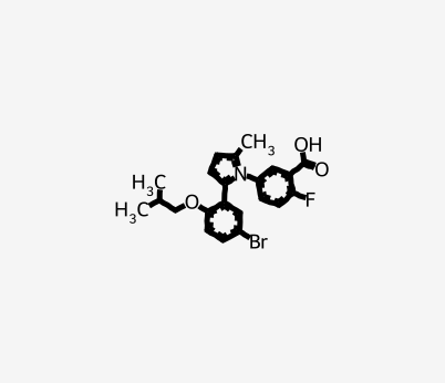 Cc1ccc(-c2cc(Br)ccc2OCC(C)C)n1-c1ccc(F)c(C(=O)O)c1